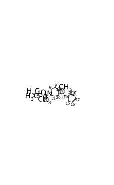 CC(C)(C)OC(=O)N1CCC(C)(OCc2ccccc2)CC1